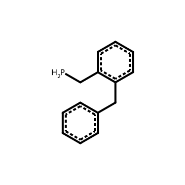 PCc1ccccc1Cc1ccccc1